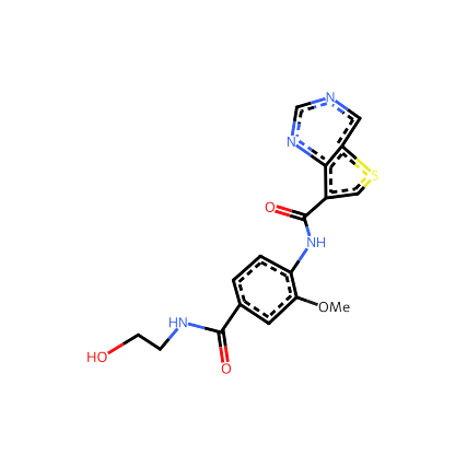 COc1cc(C(=O)NCCO)ccc1NC(=O)c1csc2cncnc12